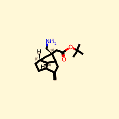 C=C1CC2[C@@H]3C1CC[C@@H]3[C@]2(CN)CC(=O)OC(C)(C)C